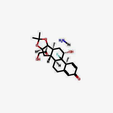 CC(N)=O.CC1(C)O[C@@H]2C[C@H]3[C@@H]4CCC5=CC(=O)C=C[C@]5(C)C4(F)[C@@H](O)C[C@]3(C)[C@]2(C(=O)CO)O1